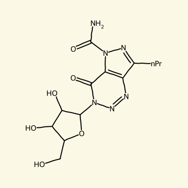 CCCc1nn(C(N)=O)c2c(=O)n(C3OC(CO)C(O)C3O)nnc12